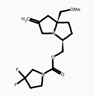 C=C1CN2[C@H](COC(=O)N3CCC(F)(F)C3)CC[C@@]2(COC)C1